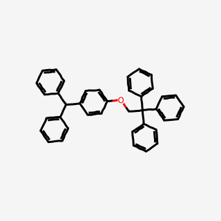 c1ccc([C](c2ccccc2)c2ccc(OCC(c3ccccc3)(c3ccccc3)c3ccccc3)cc2)cc1